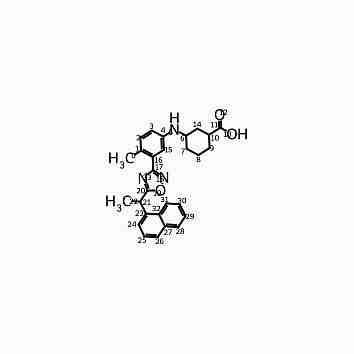 Cc1ccc(NC2CCCC(C(=O)O)C2)cc1-c1noc(C(C)c2cccc3ccccc23)n1